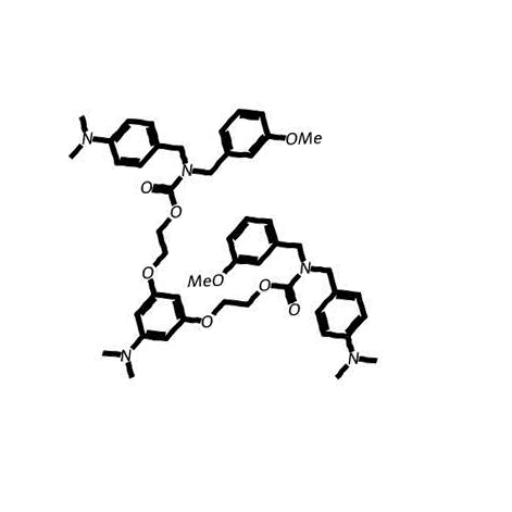 COc1cccc(CN(Cc2ccc(N(C)C)cc2)C(=O)OCCOc2cc(OCCOC(=O)N(Cc3ccc(N(C)C)cc3)Cc3cccc(OC)c3)cc(N(C)C)c2)c1